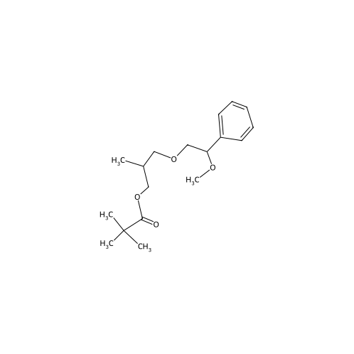 COC(COCC(C)COC(=O)C(C)(C)C)c1ccccc1